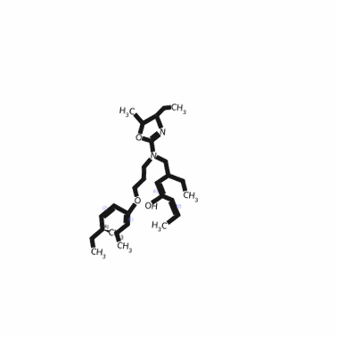 C/C=C\C(O)=C/C(CC)CN(CCCOC(/C=C\[C@H](C)CC)=C/CC)C1=NC(CC)C(C)O1